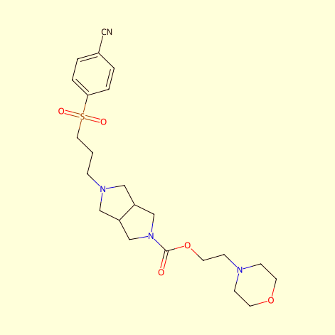 N#Cc1ccc(S(=O)(=O)CCCN2CC3CN(C(=O)OCCN4CCOCC4)CC3C2)cc1